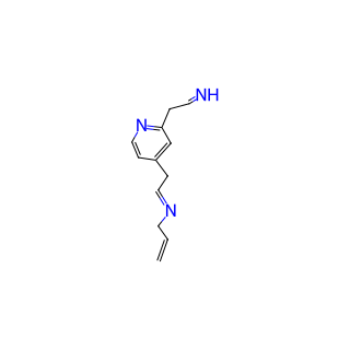 C=CCN=CCc1ccnc(CC=N)c1